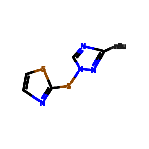 CCCCc1ncn(Sc2nccs2)n1